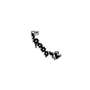 C=C(C)C(=O)OCCOc1cccc(-c2ccc(-c3ccc(-c4ccc(CCCO)cc4)c(F)c3)cc2)c1